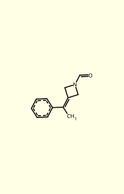 CC(=C1CN(C=O)C1)c1ccccc1